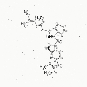 C=C/C(=C\C=C(/C)C#N)CCN[C@H](C(=O)c1c[nH]c2cc(C(=O)N(CC)CC)ccc12)c1ccccc1